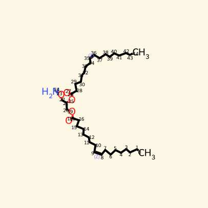 CCCCCCCC/C=C\CCCCCCCC(=O)OCC(CON)OC(=O)CCCCCCC/C=C\CCCCCCCC